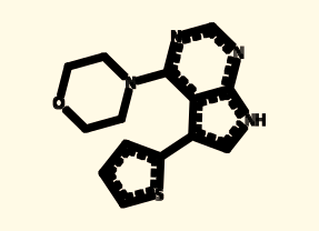 c1csc(-c2c[nH]c3ncnc(N4CCOCC4)c23)c1